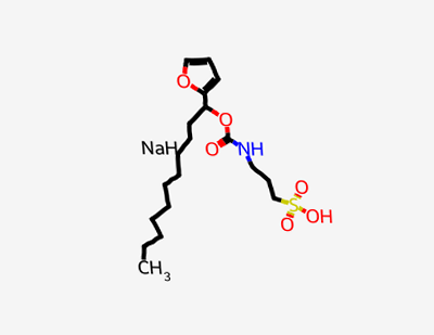 CCCCCCCCCCC(OC(=O)NCCCS(=O)(=O)O)c1ccco1.[NaH]